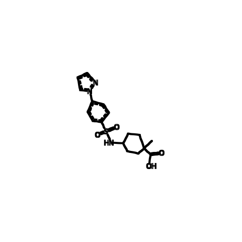 CC1(C(=O)O)CCC(NS(=O)(=O)c2ccc(-n3cccn3)cc2)CC1